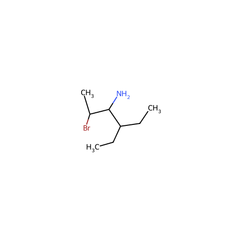 CCC(CC)C(N)C(C)Br